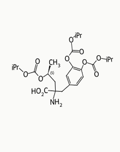 CC(C)OC(=O)Oc1ccc(CC(N)(C[C@H](C)OC(=O)OC(C)C)C(=O)O)cc1OC(=O)OC(C)C